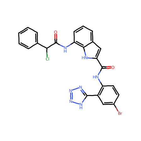 O=C(Nc1ccc(Br)cc1-c1nnn[nH]1)c1cc2cccc(NC(=O)C(Cl)c3ccccc3)c2[nH]1